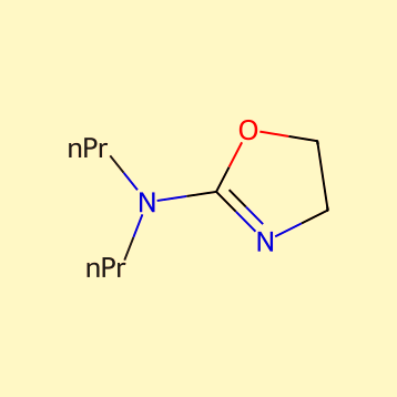 CCCN(CCC)C1=NCCO1